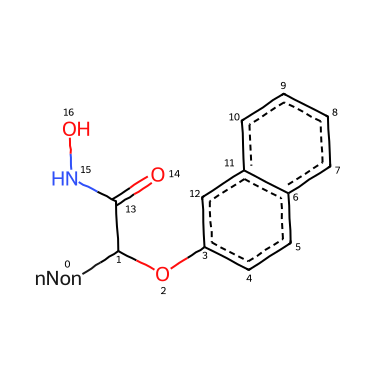 CCCCCCCCCC(Oc1ccc2ccccc2c1)C(=O)NO